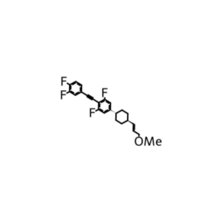 COCC=C[C@H]1CC[C@H](c2cc(F)c(C#Cc3ccc(F)c(F)c3)c(F)c2)CC1